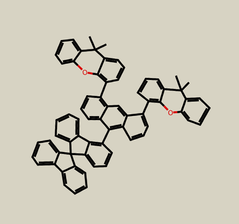 CC1(C)c2ccccc2Oc2c(-c3cccc4c(-c5cccc6c5-c5ccccc5C65c6ccccc6-c6ccccc65)c5cccc(-c6cccc7c6Oc6ccccc6C7(C)C)c5cc34)cccc21